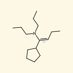 CC/C=C(/C1CCCC1)N(CCC)CCC